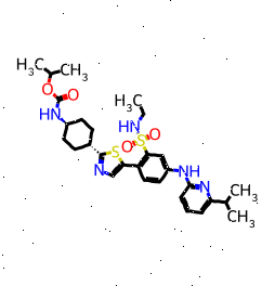 CCNS(=O)(=O)c1cc(Nc2cccc(C(C)C)n2)ccc1-c1cnc([C@H]2CC[C@H](NC(=O)OC(C)C)CC2)s1